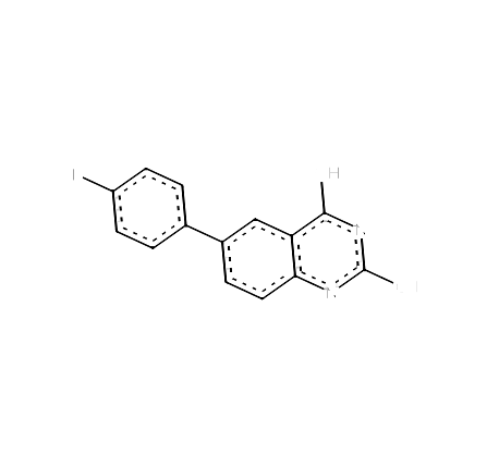 Cc1nc(O)c2cc(-c3ccc(F)cc3)ccc2n1